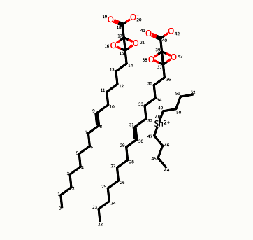 CCCCCCCCC=CCCCCCC12OC1(C(=O)[O-])O2.CCCCCCCCC=CCCCCCC12OC1(C(=O)[O-])O2.CCC[CH2][Sn+2][CH2]CCC